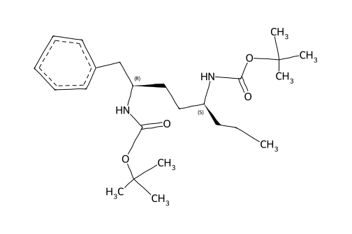 CCC[C@@H](CC[C@H](Cc1ccccc1)NC(=O)OC(C)(C)C)NC(=O)OC(C)(C)C